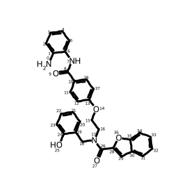 Nc1ccccc1NC(=O)c1ccc(OCCN(Cc2ccccc2O)C(=O)c2cc3ccccc3o2)cc1